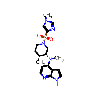 C[C@@H]1CCN(S(=O)(=O)c2cn(C)cn2)C[C@@H]1N(C)c1ccnc2[nH]ccc12